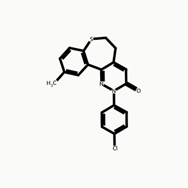 Cc1ccc2c(c1)-c1nn(-c3ccc(Cl)cc3)c(=O)cc1CCS2